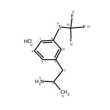 CC(N)Cc1cccc(SC(F)(F)F)c1.Cl